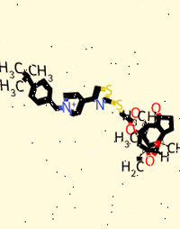 C=C[C@]12C[C@@H](OC(=O)CSc3nc(-c4cc[n+](Cc5ccc(C(C)(C)C)cc5)cc4)cs3)[C@]3(C)[C@H](C)CCC4(CCC(=O)[C@H]43)[C@@H](C)[C@@H]1O2